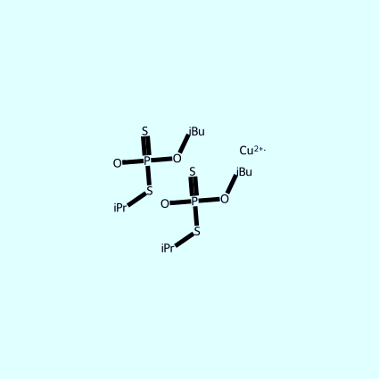 CCC(C)OP([O-])(=S)SC(C)C.CCC(C)OP([O-])(=S)SC(C)C.[Cu+2]